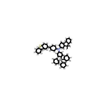 CC1(C)c2ccccc2-c2ccc(N(c3ccc(-c4ccc5sc6ccccc6c5c4)cc3)c3ccc([Si](c4ccccc4)(c4ccccc4)c4ccccc4)cc3)cc21